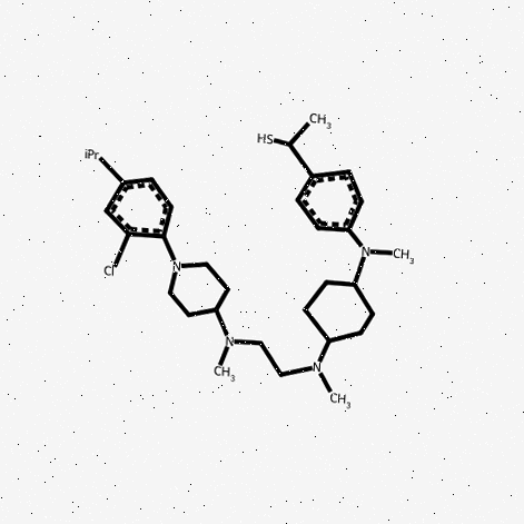 CC(C)c1ccc(N2CCC(N(C)CCN(C)C3CCC(N(C)c4ccc(C(C)S)cc4)CC3)CC2)c(Cl)c1